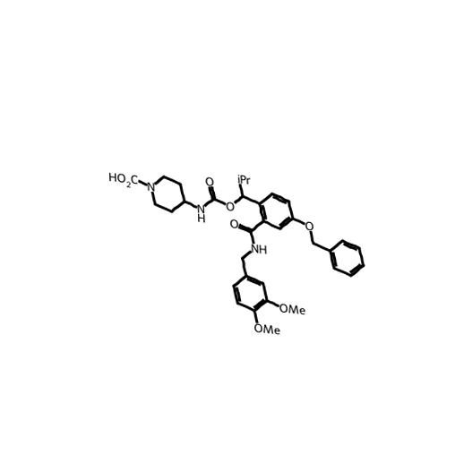 COc1ccc(CNC(=O)c2cc(OCc3ccccc3)ccc2C(OC(=O)NC2CCN(C(=O)O)CC2)C(C)C)cc1OC